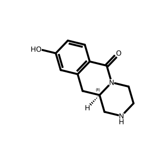 O=C1c2ccc(O)cc2C[C@@H]2CNCCN12